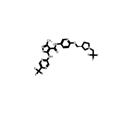 Cc1nsc(Nc2cnc(C(F)(F)F)cn2)c1C(=O)Nc1ccc(OC[C@H]2CCN(CC(F)(F)F)C2)nc1